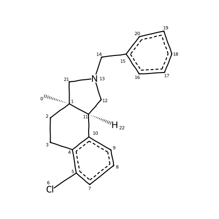 C[C@@]12CCc3c(Cl)cccc3[C@@H]1CN(Cc1ccccc1)C2